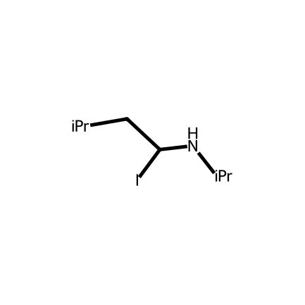 CC(C)CC(I)NC(C)C